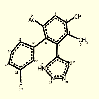 CC(=O)c1cc(Cl)c(C)c(-c2nnn[nH]2)c1-c1cccc(F)c1